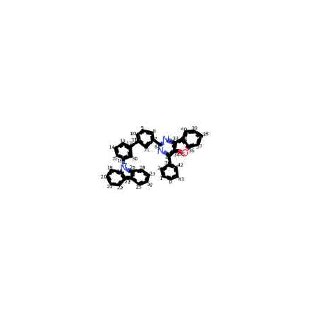 c1ccc(-c2nc(-c3cccc(-c4cccc(-n5c6ccccc6c6ccccc65)c4)c3)nc3c2oc2ccccc23)cc1